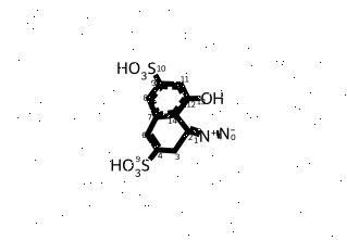 [N-]=[N+]=C1CC(S(=O)(=O)O)=Cc2cc(S(=O)(=O)O)cc(O)c21